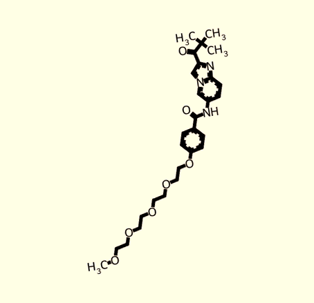 COCCOCCOCCOCCOc1ccc(C(=O)Nc2ccc3nc(C(=O)C(C)(C)C)cn3c2)cc1